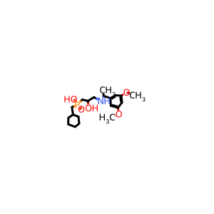 COc1cc(OC)cc(C(C)NCC(O)CP(=O)(O)CC2CCCCC2)c1